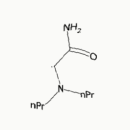 CCCN([CH]C(N)=O)CCC